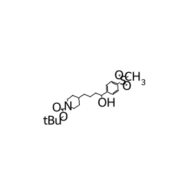 CC(C)(C)OC(=O)N1CCC(CCCC(O)c2ccc(S(C)(=O)=O)cc2)CC1